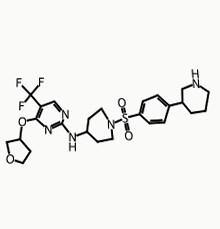 O=S(=O)(c1ccc(C2CCCNC2)cc1)N1CCC(Nc2ncc(C(F)(F)F)c(OC3CCOC3)n2)CC1